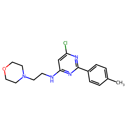 Cc1ccc(-c2nc(Cl)cc(NCCN3CCOCC3)n2)cc1